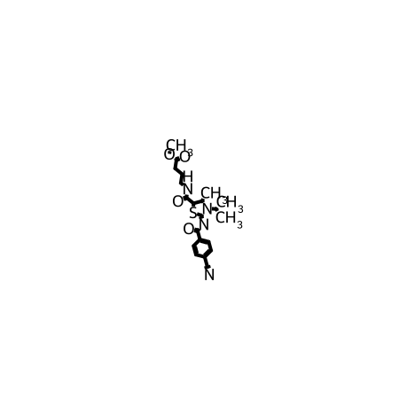 COC(=O)CCCNC(=O)C1SC(=NC(=O)c2ccc(C#N)cc2)N(C(C)C)C1C